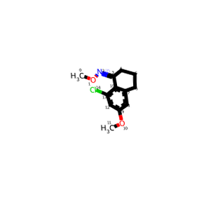 CO/N=C1/CCCc2cc(OC)cc(Cl)c21